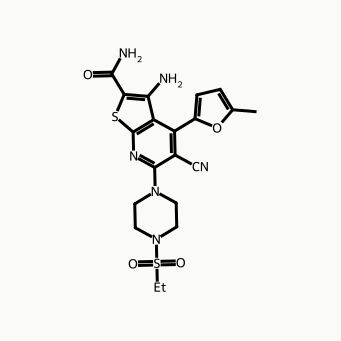 CCS(=O)(=O)N1CCN(c2nc3sc(C(N)=O)c(N)c3c(-c3ccc(C)o3)c2C#N)CC1